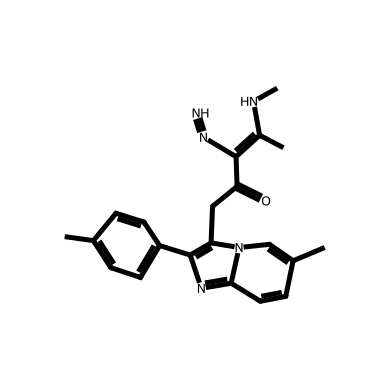 CN/C(C)=C(\N=N)C(=O)Cc1c(-c2ccc(C)cc2)nc2ccc(C)cn12